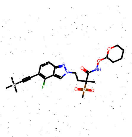 CC(CCn1cc2c(F)c(C#C[Si](C)(C)C)ccc2n1)(C(=O)NOC1CCCCO1)S(C)(=O)=O